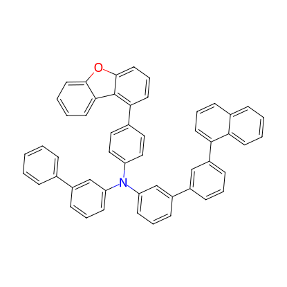 c1ccc(-c2cccc(N(c3ccc(-c4cccc5oc6ccccc6c45)cc3)c3cccc(-c4cccc(-c5cccc6ccccc56)c4)c3)c2)cc1